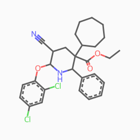 CCOC(=O)C1(C2CCCCCC2)CC(C#N)C(Oc2ccc(Cl)cc2Cl)NC1c1ccccc1